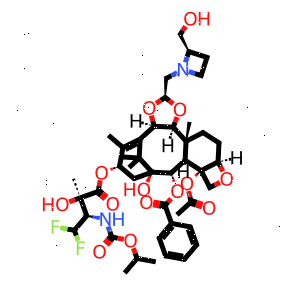 CC(=O)O[C@@]12CO[C@@H]1CC[C@@]1(C)[C@@H]3O[C@H](CN4CC[C@@H]4CO)O[C@@H]3C3=C(C)[C@@H](OC(=O)[C@](C)(O)[C@@H](NC(=O)OC(C)C)C(F)F)C[C@@](O)([C@@H](OC(=O)c4ccccc4)[C@@H]12)C3(C)C